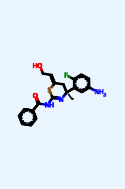 C[C@@]1(c2cc(N)ccc2F)C/C(=C/CO)SC(NC(=O)c2ccccc2)=N1